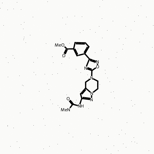 CNC(=O)Nc1cc2n(n1)CCN(c1nc(-c3cccc(C(=O)OC)c3)no1)C2